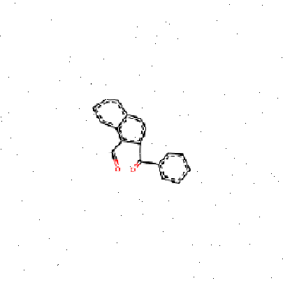 O=[C]c1c(C(=O)c2ccccc2)ccc2ccccc12